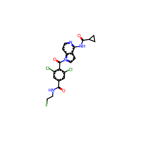 O=C(NCCF)c1cc(Cl)c(C(=O)n2ccc3c(NC(=O)C4CC4)nccc32)c(Cl)c1